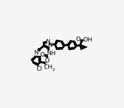 C[C@@H](OC(=O)Nc1c(C#N)cnn1-c1ccc(-c2ccc(C3(C(=O)O)CC3)cc2)cc1)c1ccccc1Cl